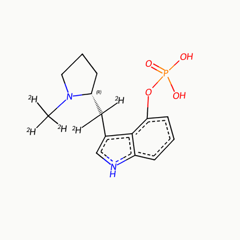 [2H]C([2H])(c1c[nH]c2cccc(OP(=O)(O)O)c12)[C@H]1CCCN1C([2H])([2H])[2H]